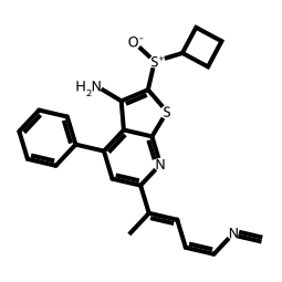 C=N/C=C\C=C(/C)c1cc(-c2ccccc2)c2c(N)c([S+]([O-])C3CCC3)sc2n1